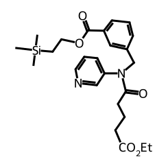 CCOC(=O)CCCC(=O)N(Cc1cccc(C(=O)OCC[Si](C)(C)C)c1)c1cccnc1